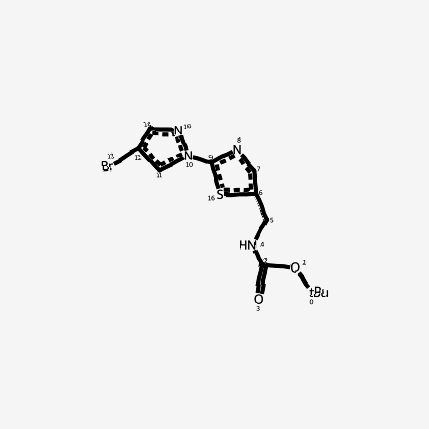 CC(C)(C)OC(=O)NCc1cnc(-n2cc(Br)cn2)s1